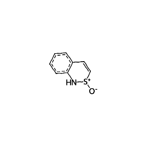 [O-][S+]1C=Cc2ccccc2N1